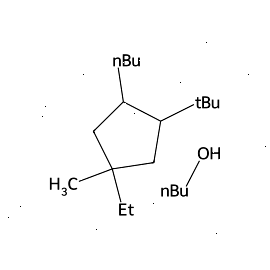 CCCCC1CC(C)(CC)CC1C(C)(C)C.CCCCO